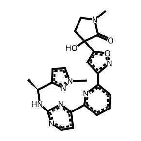 C[C@H](Nc1nccc(-c2cccc(-c3cc(C4(O)CCN(C)C4=O)on3)n2)n1)c1ccn(C)n1